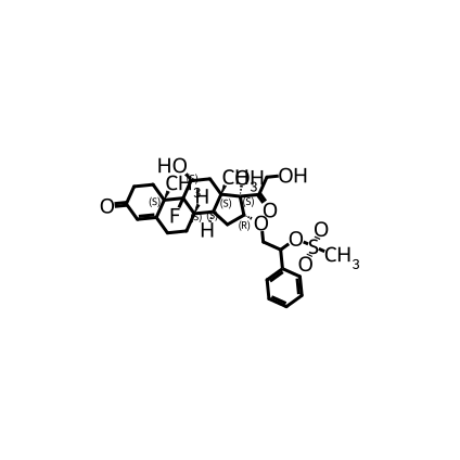 C[C@]12CCC(=O)C=C1CC[C@H]1[C@@H]3C[C@@H](OCC(OS(C)(=O)=O)c4ccccc4)[C@](O)(C(=O)CO)[C@@]3(C)C[C@H](O)C12F